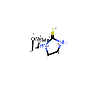 COC.COC.S=C1NCCN1